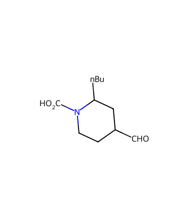 CCCCC1CC(C=O)CCN1C(=O)O